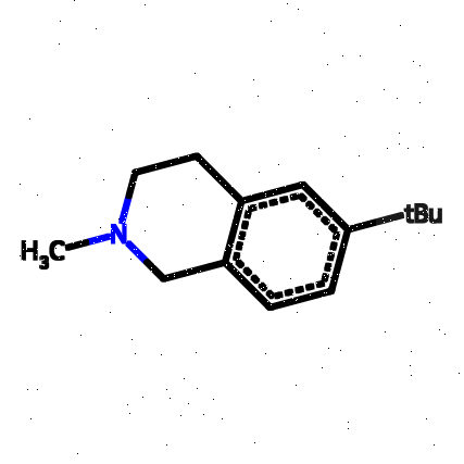 CN1CCc2cc(C(C)(C)C)ccc2C1